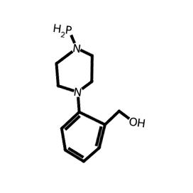 OCc1ccccc1N1CCN(P)CC1